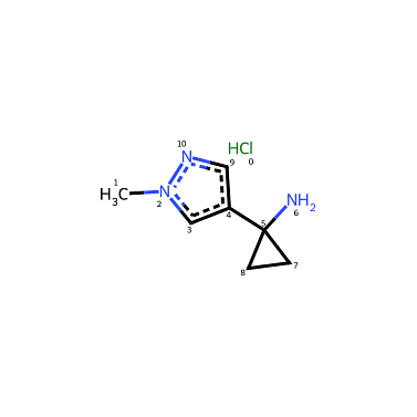 Cl.Cn1cc(C2(N)CC2)cn1